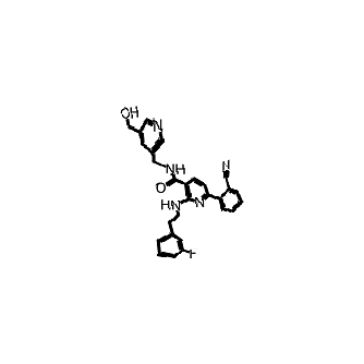 N#Cc1ccccc1-c1ccc(C(=O)NCc2cncc(CO)c2)c(NCCc2cccc(F)c2)n1